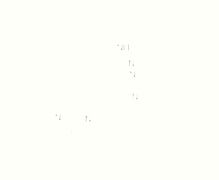 Cc1cc(-c2ncco2)ncc1-c1cc(N=C(c2ccccc2)c2ccccc2)c2nnc(N)cc2c1